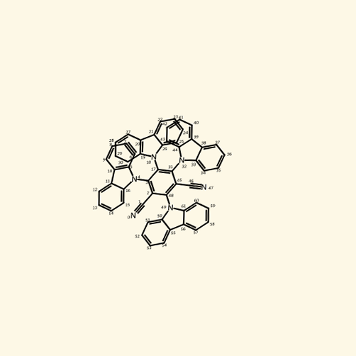 N#Cc1c(-n2c3c#cccc3c3ccccc32)c(-n2c3c(c4ccccc42)C=CCC3)c(-n2c3ccccc3c3ccccc32)c(C#N)c1-n1c2ccccc2c2ccccc21